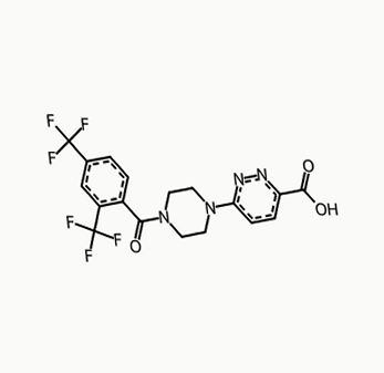 O=C(O)c1ccc(N2CCN(C(=O)c3ccc(C(F)(F)F)cc3C(F)(F)F)CC2)nn1